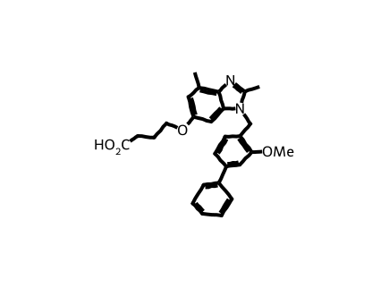 COc1cc(-c2ccccc2)ccc1Cn1c(C)nc2c(C)cc(OCCCC(=O)O)cc21